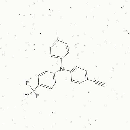 C#Cc1ccc(N(c2ccc(C)cc2)c2ccc(C(F)(F)F)cc2)cc1